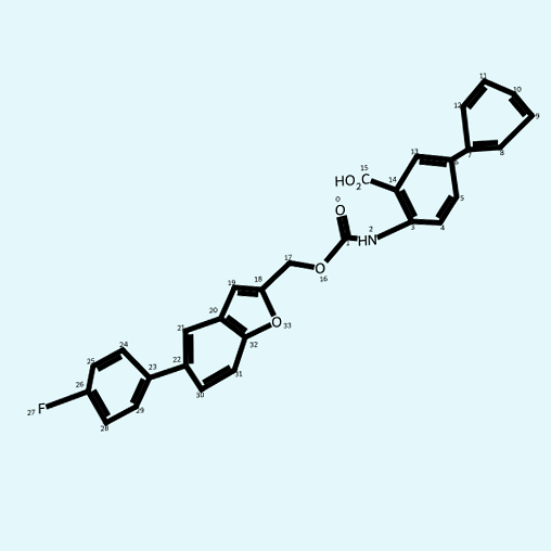 O=C(Nc1ccc(-c2ccccc2)cc1C(=O)O)OCc1cc2cc(-c3ccc(F)cc3)ccc2o1